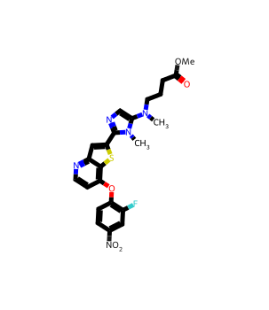 COC(=O)CCCN(C)c1cnc(-c2cc3nccc(Oc4ccc([N+](=O)[O-])cc4F)c3s2)n1C